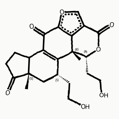 C[C@]12C[C@@H](CCO)C3=C(C(=O)c4occ5c4[C@]3(C)[C@@H](CCO)OC5=O)C1CCC2=O